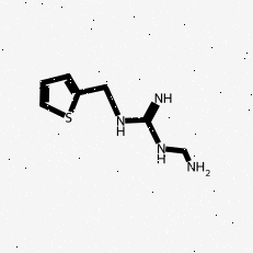 N=C(NCN)NCc1cccs1